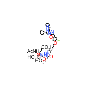 CC(=O)N[C@@H](CCC(=O)O)C(=O)N[C@@H](CC(=O)O)C(=O)N[C@@H](CC(=O)O)C(=O)NCCCCCCOc1ccc(Cc2nc3c(Cc4ccccc4)[nH]c(-c4ccccc4)cn-3c2=O)cc1F